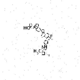 CC(C)c1ccn(-c2ccc(-c3c(C(F)(F)F)ccc4c3CC[C@H]4Oc3ccc4c(c3)OC[C@H]4CC(=O)O)cc2)n1